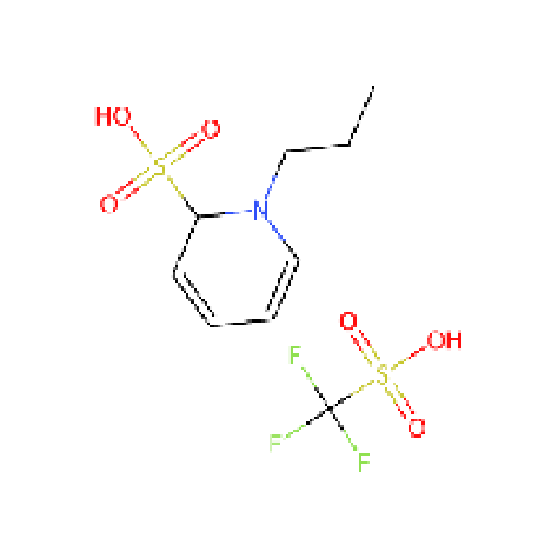 CCCN1C=CC=CC1S(=O)(=O)O.O=S(=O)(O)C(F)(F)F